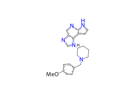 COc1ccc(CN2CCC[C@@H](n3cnc4cnc5[nH]ccc5c43)C2)cc1